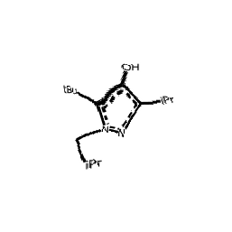 CC(C)Cn1nc(C(C)C)c(O)c1C(C)(C)C